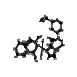 Nc1cccc(-c2ccc3nnc(C(F)(F)c4c(F)cc5ncccc5c4F)n3n2)c1